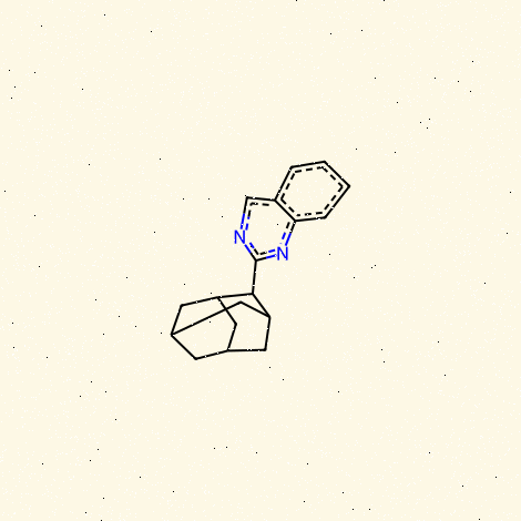 c1ccc2nc(C3C4CC5CC(C4)CC3C5)ncc2c1